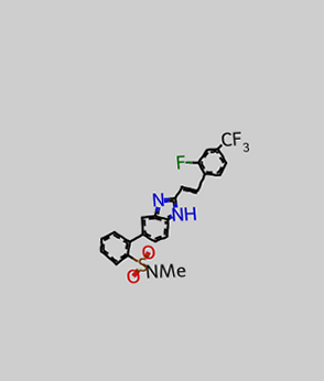 CNS(=O)(=O)c1ccccc1-c1ccc2[nH]c(/C=C/c3ccc(C(F)(F)F)cc3F)nc2c1